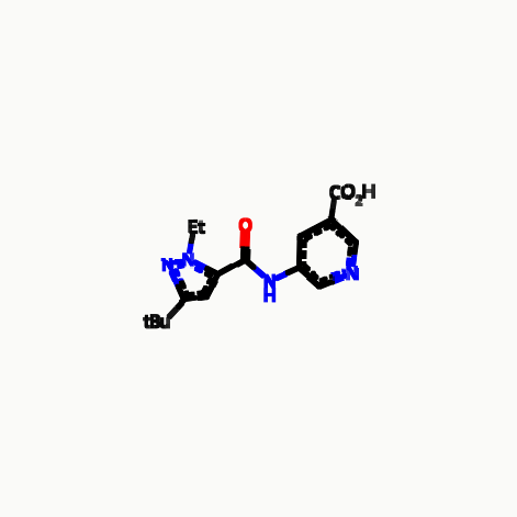 CCn1nc(C(C)(C)C)cc1C(=O)Nc1cncc(C(=O)O)c1